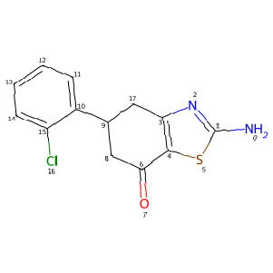 Nc1nc2c(s1)C(=O)CC(c1ccccc1Cl)C2